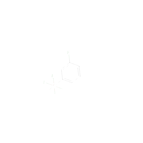 Fc1cccc(S(F)(F)(F)(F)F)c1